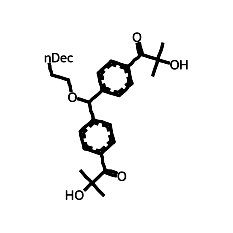 CCCCCCCCCCCCOC(c1ccc(C(=O)C(C)(C)O)cc1)c1ccc(C(=O)C(C)(C)O)cc1